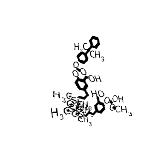 COC(O)Oc1ccc(CCC[Si](C)(C)O[Si](C)(C)O[Si](C)(C)CCCc2ccc(OC(=O)Oc3ccc(C(C)(C)c4ccccc4)cc3)c(CO)c2)cc1CO